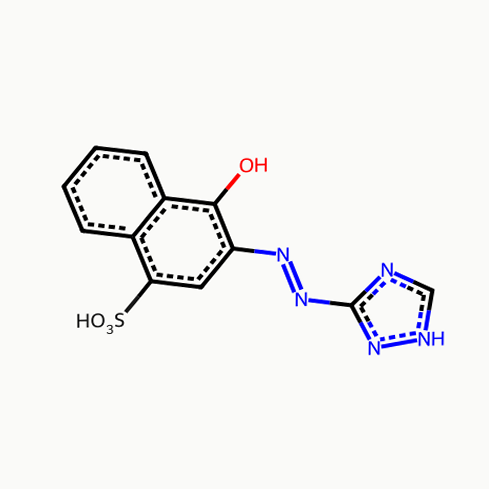 O=S(=O)(O)c1cc(/N=N/c2nc[nH]n2)c(O)c2ccccc12